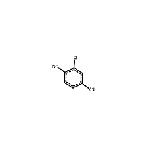 N#Cc1ccc(C#N)c(Cl)c1